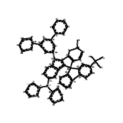 CC1C=CC2=C(C1)c1c(c3cc(N(c4ccccc4)c4ccccc4)ccc3n1-c1cc(-c3ccccc3)nc(-c3ccccc3)c1)C21c2ccccc2-c2ccc(C(C)(C)C)cc21